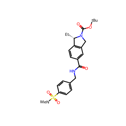 CC[C@H]1c2ccc(C(=O)NCc3ccc(S(=O)(=O)NC)cc3)cc2CN1C(=O)OC(C)(C)C